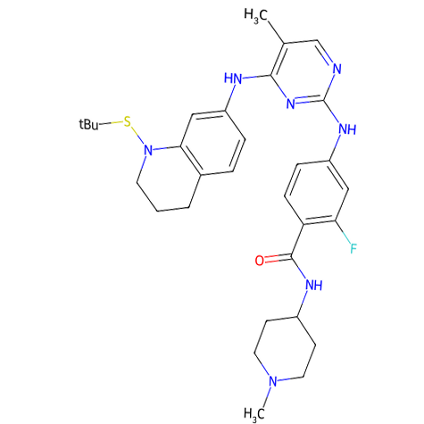 Cc1cnc(Nc2ccc(C(=O)NC3CCN(C)CC3)c(F)c2)nc1Nc1ccc2c(c1)N(SC(C)(C)C)CCC2